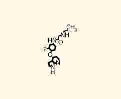 CCCNCC(=O)Nc1ccc(Oc2ccnc3[nH]ccc23)c(F)c1